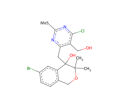 CSc1nc(Cl)c(CO)c(CC2(O)c3cc(Br)ccc3COC2(C)C)n1